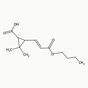 CCCCOC(=O)C=CC1C(C(=O)O)C1(C)C